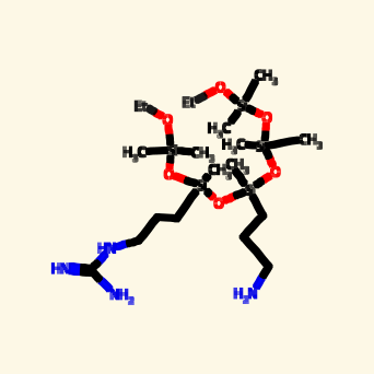 CCO[Si](C)(C)O[Si](C)(C)O[Si](C)(CCCN)O[Si](C)(CCCNC(=N)N)O[Si](C)(C)OCC